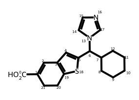 O=C(O)C1=Cc2cc(C(C3CCCCC3)n3ccnc3)sc2CC1